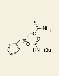 CC(C)(C)NC(=O)O[C@@H](COC(N)=S)Cc1ccccc1